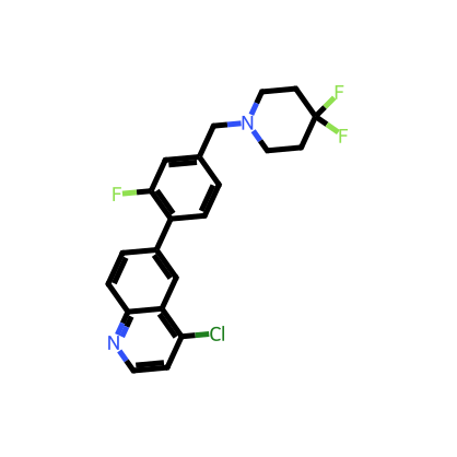 Fc1cc(CN2CCC(F)(F)CC2)ccc1-c1ccc2nccc(Cl)c2c1